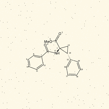 COC(=O)[C@]1(NC(=O)c2ccccc2)C[C@@H]1c1ccccc1